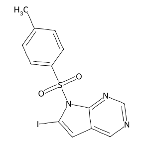 Cc1ccc(S(=O)(=O)n2c(I)cc3cncnc32)cc1